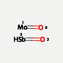 [O]=[Mo].[O]=[SbH]